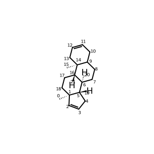 C[C@@]12C=CC[C@H]1[C@@H]1CCC3CC=CC[C@]3(C)[C@H]1CC2